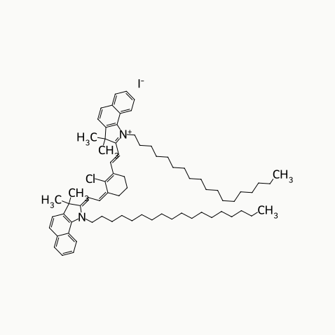 CCCCCCCCCCCCCCCCCCN1C(=CC=C2CCCC(C=CC3=[N+](CCCCCCCCCCCCCCCCCC)c4c(ccc5ccccc45)C3(C)C)=C2Cl)C(C)(C)c2ccc3ccccc3c21.[I-]